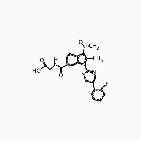 Cc1c([S+](C)[O-])c2ccc(C(=O)NCC(=O)O)cc2n1-c1ncc(-c2ccccc2F)cn1